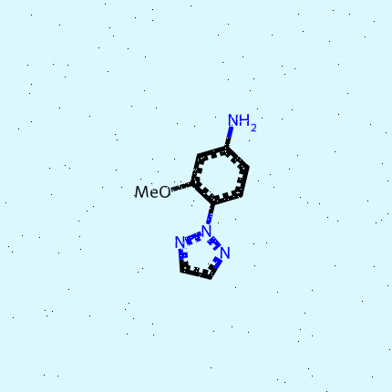 COc1cc(N)ccc1-n1nccn1